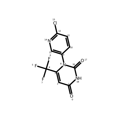 O=c1cc(C(F)(F)F)n(-c2ccc(Cl)nc2)c(=O)[nH]1